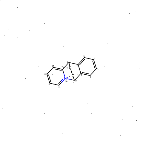 c1ccc2c(c1)C1CCC2[n+]2ccccc21